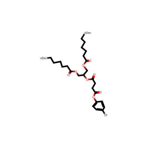 CCCCCCCCCCCCCCCC(=O)OCC(COC(=O)CCCCCCCCCCCCCCC)OC(=O)CCC(=O)Oc1ccc(CC)cc1